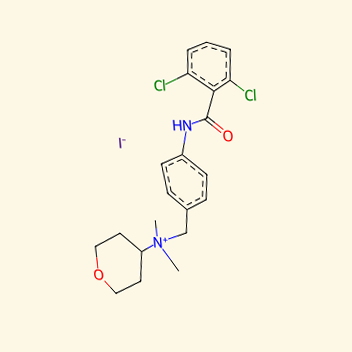 C[N+](C)(Cc1ccc(NC(=O)c2c(Cl)cccc2Cl)cc1)C1CCOCC1.[I-]